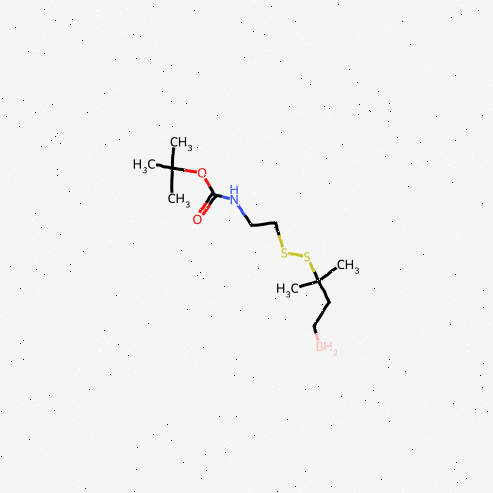 BCCC(C)(C)SSCCNC(=O)OC(C)(C)C